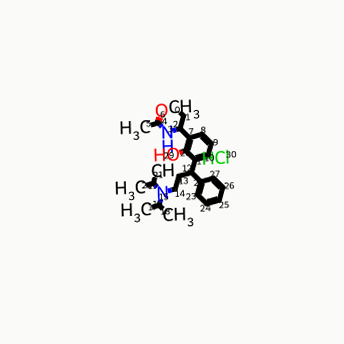 CCC(NC(C)=O)c1cccc(C(CCN(C(C)C)C(C)C)c2ccccc2)c1O.Cl